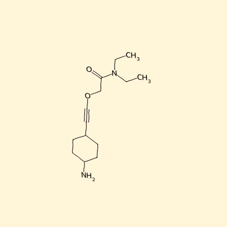 CCN(CC)C(=O)COC#CC1CCC(N)CC1